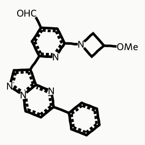 COC1CN(c2cc(C=O)cc(-c3cnn4ccc(-c5ccccc5)nc34)n2)C1